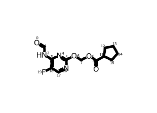 O=CNc1nc(OCOC(=O)C2CCCC2)ncc1F